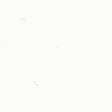 CC(C)(C)OC(=O)c1c[nH]c2cc(C3CC3)ccc12